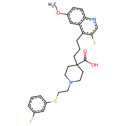 COc1ccc2ncc(F)c(CCCC3(C(=O)O)CCN(CCSc4cccc(F)c4)CC3)c2c1